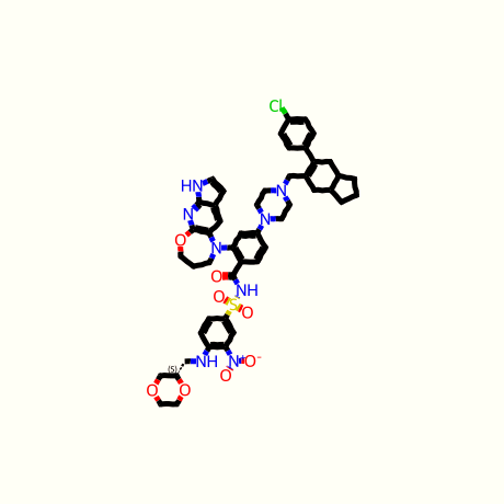 O=C(NS(=O)(=O)c1ccc(NC[C@H]2COCCO2)c([N+](=O)[O-])c1)c1ccc(N2CCN(CC3=C(c4ccc(Cl)cc4)CC4CCCC4C3)CC2)cc1N1CCCOc2nc3[nH]ccc3cc21